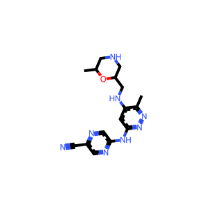 Cc1nnc(Nc2cnc(C#N)cn2)cc1NCC1CNCC(C)O1